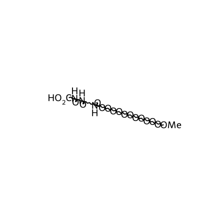 COCCOCCOCCOCCOCCOCCOCCOCCOCCOCCOCCOCCC(=O)NCCCCCC(=O)NCCC(=O)NCCC(=O)O